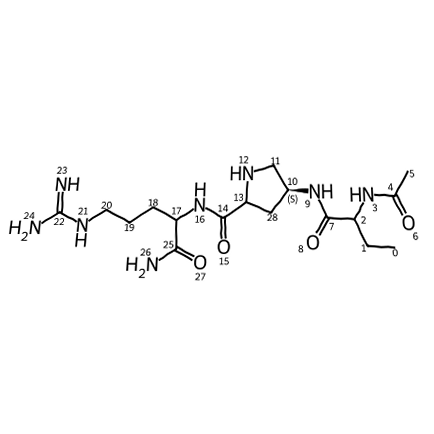 CCC(NC(C)=O)C(=O)N[C@@H]1CNC(C(=O)NC(CCCNC(=N)N)C(N)=O)C1